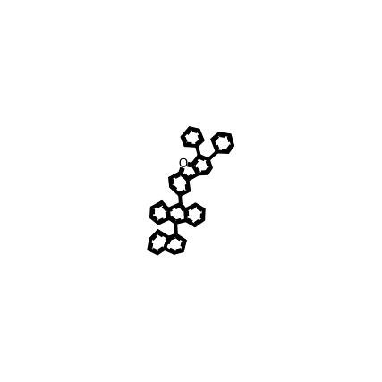 c1ccc(-c2ccc3c(oc4ccc(-c5c6ccccc6c(-c6cccc7ccccc67)c6ccccc56)cc43)c2-c2ccccc2)cc1